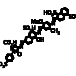 COc1cc(/N=N/c2ccc3c(S(=O)(=O)O)cccc3c2S(=O)(=O)O)c(C)cc1/N=N/c1c(S(=O)(=O)O)cc2cc(/N=N/C3C(=O)N(c4ccc(S(=O)(=O)O)cc4)N=C3C(=O)O)ccc2c1O